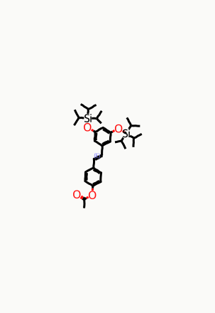 CC(=O)Oc1ccc(/C=C/c2cc(O[Si](C(C)C)(C(C)C)C(C)C)cc(O[Si](C(C)C)(C(C)C)C(C)C)c2)cc1